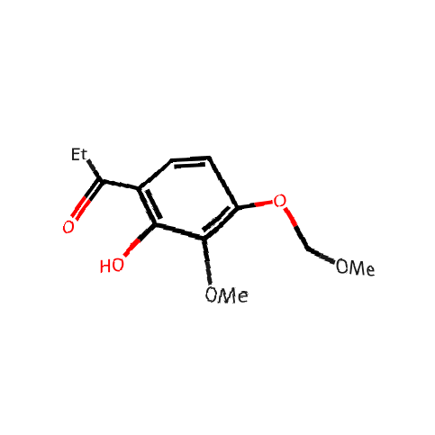 CCC(=O)c1ccc(OCOC)c(OC)c1O